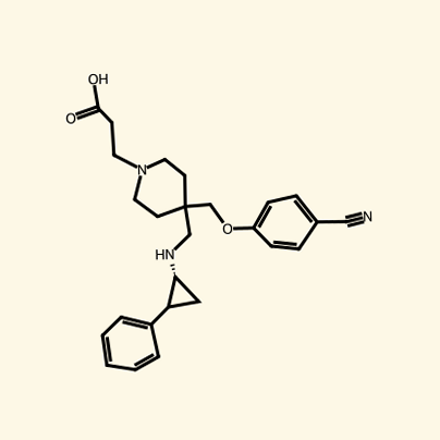 N#Cc1ccc(OCC2(CN[C@@H]3CC3c3ccccc3)CCN(CCC(=O)O)CC2)cc1